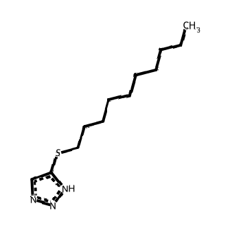 CCCCCCCCCCSc1cnn[nH]1